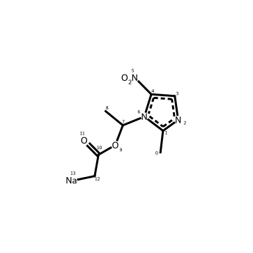 Cc1ncc([N+](=O)[O-])n1C(C)OC(=O)[CH2][Na]